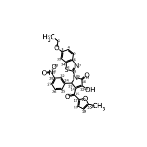 CCOc1ccc2nc(N3C(=O)C(O)=C(C(=O)c4ccc(C)o4)C3c3cccc([N+](=O)[O-])c3)sc2c1